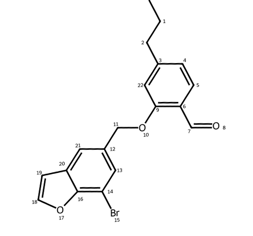 CCCc1ccc(C=O)c(OCc2cc(Br)c3occc3c2)c1